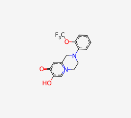 O=c1cc2n(cc1O)CCN(c1ccccc1OC(F)(F)F)C2